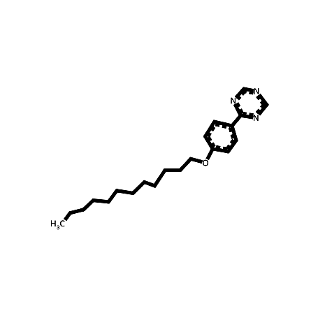 CCCCCCCCCCCCOc1ccc(-c2ncncn2)cc1